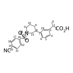 CC(C(=O)O)c1cccc(C2CCCN(S(=O)(=O)c3ccc(C#N)cc3)C2)c1